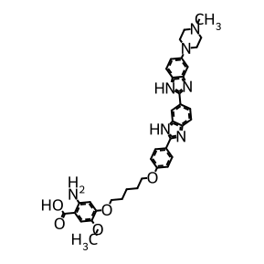 COc1cc(C(=O)O)c(N)cc1OCCCCCOc1ccc(-c2nc3ccc(-c4nc5cc(N6CCN(C)CC6)ccc5[nH]4)cc3[nH]2)cc1